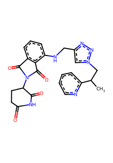 CC(Cn1cc(CNc2cccc3c2C(=O)N(C2CCC(=O)NC2=O)C3=O)nn1)c1ccccn1